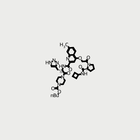 CCCCOC(=O)N1CCN(C(=O)[C@H](Cc2c[nH]nn2)NC(=O)c2cc(OCC(=O)N3CCC[C@H]3C(=O)NC3CCC3)c3ccc(C)cc3n2)CC1